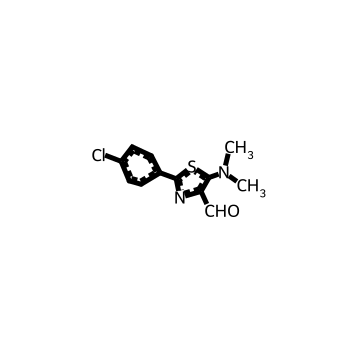 CN(C)c1sc(-c2ccc(Cl)cc2)nc1C=O